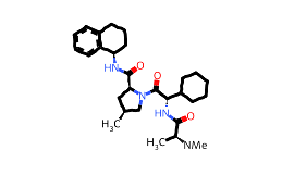 CN[C@@H](C)C(=O)N[C@H](C(=O)N1C[C@@H](C)C[C@H]1C(=O)N[C@@H]1CCCc2ccccc21)C1CCCCC1